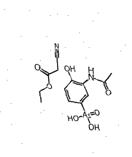 CC(=O)Nc1cc([As](=O)(O)O)ccc1O.CCOC(=O)CC#N